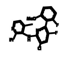 COc1cccc(F)c1-c1nc(Nc2c(C)ccnc2C(C)C)c(Cl)cc1F